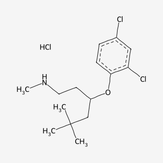 CNCCC(CC(C)(C)C)Oc1ccc(Cl)cc1Cl.Cl